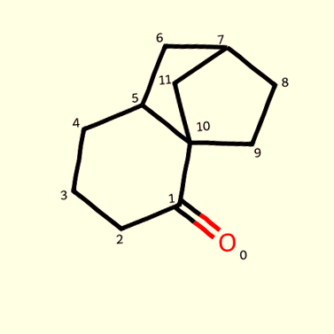 O=C1CCCC2CC3CCC12C3